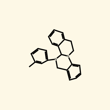 Cc1cccc(N2Cc3ccccc3N3CCc4ccccc4C23)c1